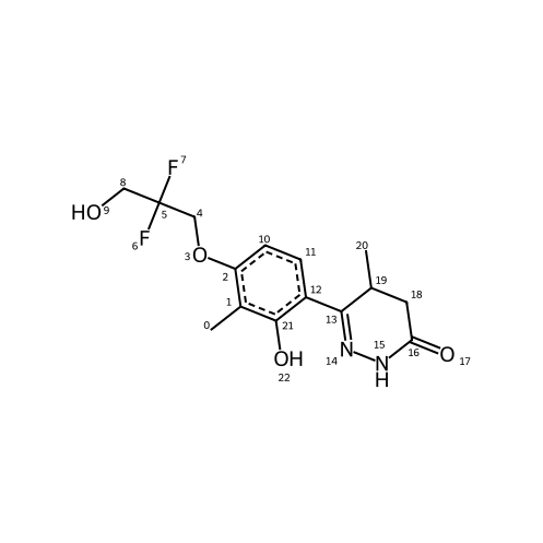 Cc1c(OCC(F)(F)CO)ccc(C2=NNC(=O)CC2C)c1O